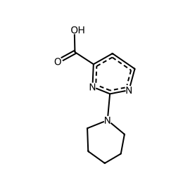 O=C(O)c1ccnc(N2CCCCC2)n1